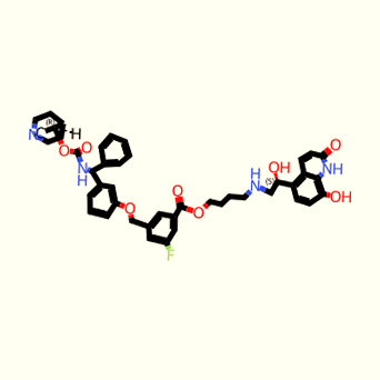 O=C(NC(c1ccccc1)c1cccc(OCc2cc(F)cc(C(=O)OCCCCNC[C@@H](O)c3ccc(O)c4[nH]c(=O)ccc34)c2)c1)O[C@H]1CN2CCC1CC2